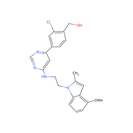 COc1cccc2c1cc(C)n2CCNc1cc(-c2ccc(CO)c(Cl)c2)ncn1